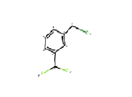 FC(F)c1cccc(CCl)c1